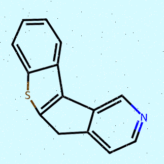 c1ccc2c3c(sc2c1)Cc1ccncc1-3